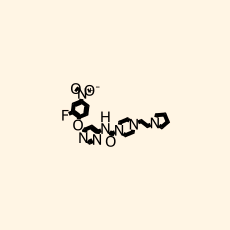 O=C(Nc1cc(Oc2ccc([N+](=O)[O-])cc2F)ncn1)N1CCN(CCN2CCCC2)CC1